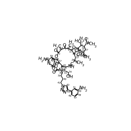 CC[C@H]1OC(=O)[C@H](C)C(=O)[C@H](C)[C@@H](O[C@@H]2O[C@H](C)CC(N(C)C)C2O)[C@](C)(OC)C[C@@H](C)CN[C@H](CCO)[C@H]2N(CCCCn3cc(-c4cccc(N)c4)nn3)C(=O)O[C@]12n1ccc(N)nc1=O